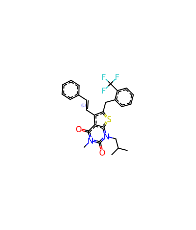 CC(C)Cn1c(=O)n(C)c(=O)c2c(/C=C/c3ccccc3)c(Cc3ccccc3C(F)(F)F)sc21